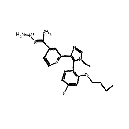 CCCCOc1cc(F)ccc1-c1c(-c2cc(/C(N)=N/NN)ccn2)ncn1C